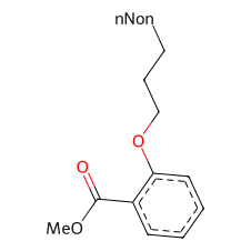 CCCCCCCCCCCCOc1ccccc1C(=O)OC